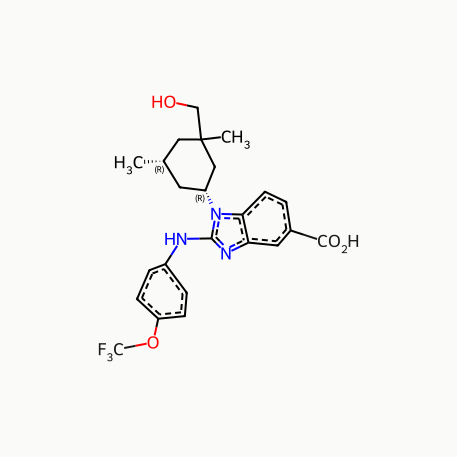 C[C@H]1C[C@@H](n2c(Nc3ccc(OC(F)(F)F)cc3)nc3cc(C(=O)O)ccc32)CC(C)(CO)C1